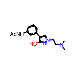 CC(=O)Nc1cccc(-c2cn(CCN(C)C)nc2O)c1